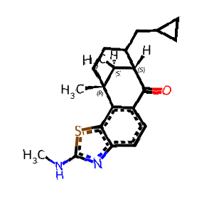 CNc1nc2ccc3c(c2s1)[C@]1(C)CCC(CC2CC2)[C@H](C3=O)[C@@H]1C